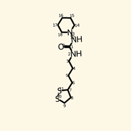 O=C(NCCCCC1CCSS1)NN1CCCCC1